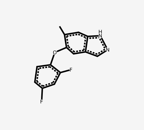 Cc1cc2[nH]ncc2cc1Oc1ccc(F)cc1F